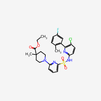 CCOC(=O)C1(C)CCN(c2cccc(S(=O)(=O)Nc3ccc(Cl)c(-c4cc(F)ccc4C)n3)n2)CC1